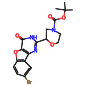 CC(C)(C)OC(=O)N1CCOC(c2nc3c(oc4ccc(Br)cc43)c(=O)[nH]2)C1